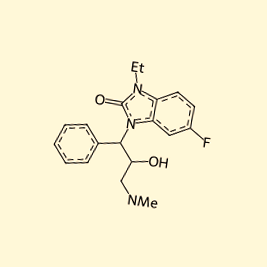 CCn1c(=O)n(C(c2ccccc2)C(O)CNC)c2cc(F)ccc21